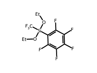 CCO[Si](OCC)(c1c(F)c(F)c(F)c(F)c1F)C(F)(F)F